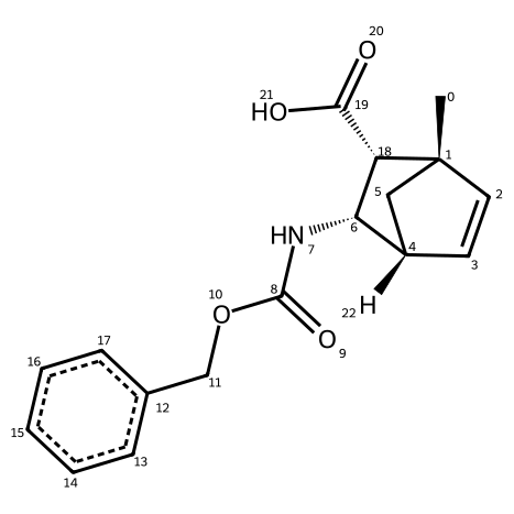 C[C@@]12C=C[C@@H](C1)[C@H](NC(=O)OCc1ccccc1)[C@@H]2C(=O)O